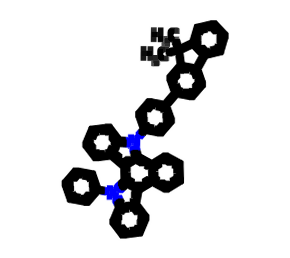 CC1(C)c2ccccc2-c2ccc(-c3ccc(-n4c5ccccc5c5c4c4ccccc4c4c6ccccc6n(-c6ccccc6)c45)cc3)cc21